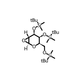 CC(C)(C)[Si](C)(C)OC[C@H]1O[C@H]2O[C@@H]2[C@@H](O[Si](C)(C)C(C)(C)C)[C@H]1O[Si](C)(C)C(C)(C)C